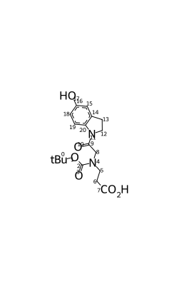 CC(C)(C)OC(=O)N(CCC(=O)O)CC(=O)N1CCc2cc(O)ccc21